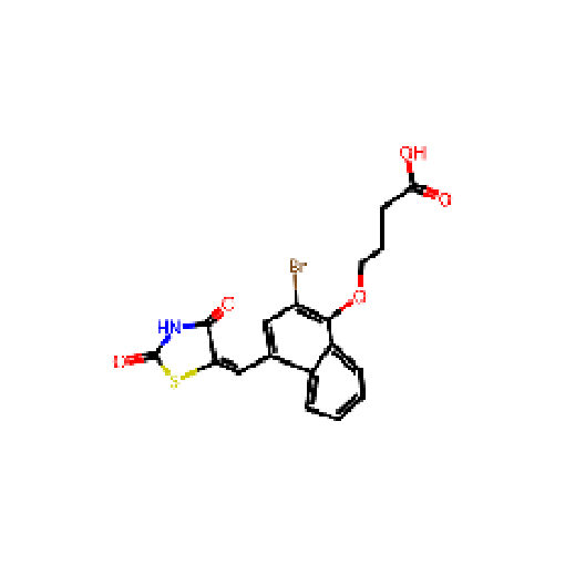 O=C(O)CCCOc1c(Br)cc(C=C2SC(=O)NC2=O)c2ccccc12